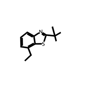 CCc1cccc2nc(C(C)(C)C)sc12